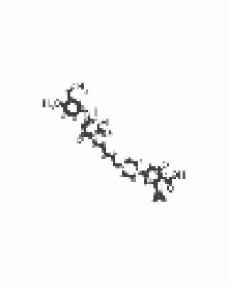 CCc1cc(Nc2cc(=O)n(CCCCCN3CCN(C4=NC(C5CC5)=C(C(=O)O)C(=O)C4)CC3)c(=O)[nH]2)ccc1C